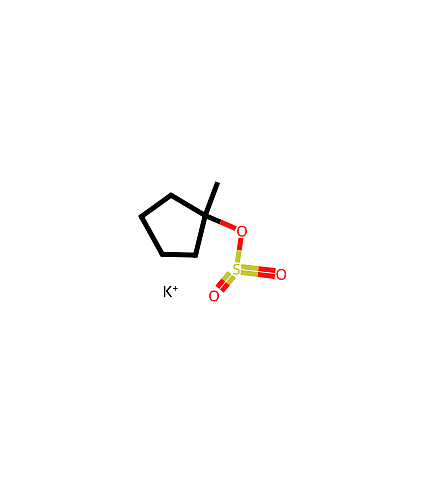 CC1(O[S-](=O)=O)CCCC1.[K+]